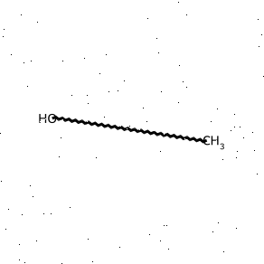 CCCCCCCCCCCCCCCCCCCCCCCCCCCCCCCCCCCCCCCCCCCCCCCO